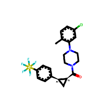 Cc1ccc(Cl)cc1N1CCN(C(=O)[C@H]2C[C@H]2c2ccc(S(F)(F)(F)(F)F)cc2)CC1